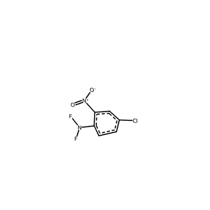 O=[N+]([O-])c1cc(Cl)ccc1N(F)F